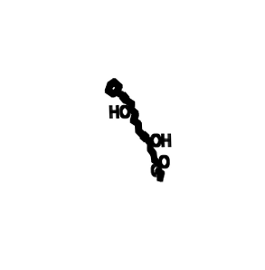 CCOC(=O)CCC[C@H](O)C#C/C=C/C=C/[C@H](O)CC#CC1CCCCC1